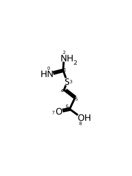 N=C(N)SC=CC(=O)O